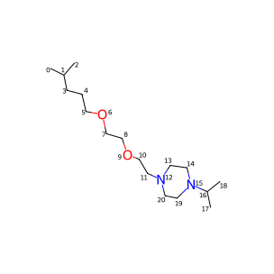 CC(C)CCCOCCOCCN1CCN(C(C)C)CC1